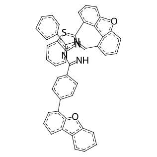 N=C(/N=C(\N=C\c1cccc2oc3cccc(-c4nc5ccccc5s4)c3c12)c1ccccc1)c1ccc(-c2cccc3c2oc2ccccc23)cc1